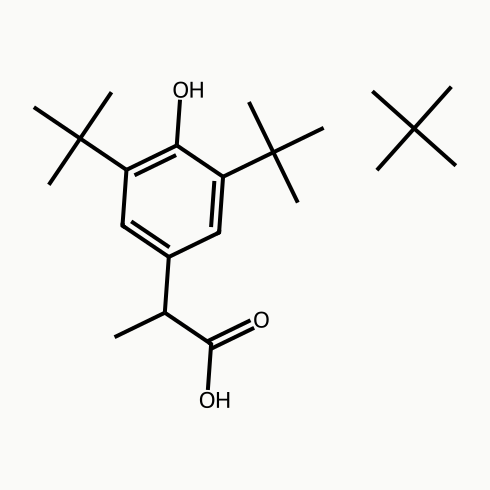 CC(C(=O)O)c1cc(C(C)(C)C)c(O)c(C(C)(C)C)c1.CC(C)(C)C